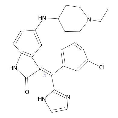 CCN1CCC(Nc2ccc3c(c2)/C(=C(\c2cccc(Cl)c2)c2ncc[nH]2)C(=O)N3)CC1